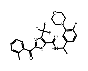 Cc1ccccc1C(=O)c1nc(C(F)(F)F)c(C(=O)NC(C)c2ccc(F)c(N3CCOCC3)c2)s1